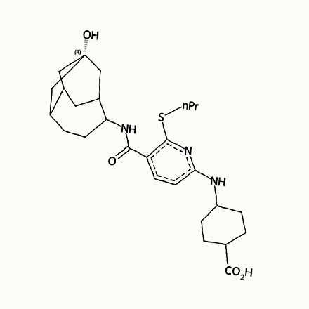 CCCSc1nc(NC2CCC(C(=O)O)CC2)ccc1C(=O)NC1CCC2C[C@@]3(O)CC2CC1C3